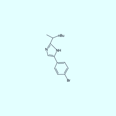 CCCCC(C)c1ncc(-c2ccc(Br)cc2)[nH]1